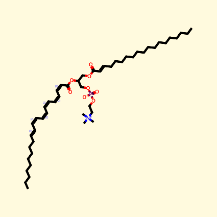 CCCCCCCCC/C=C/C=C\C=C/C=C\C=C/C=C\C(=O)OC(COC(=O)C=CCCCCCCCCCCCCCCCC)COP(=O)([O-])OCC[N+](C)(C)C